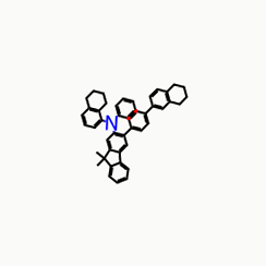 CC1(C)c2ccccc2-c2cc(-c3ccc(-c4ccc5c(c4)CCCC5)cc3)c(N(c3ccccc3)c3cccc4c3CCCC4)cc21